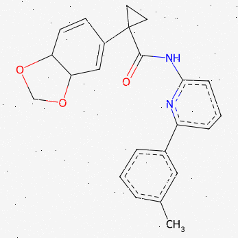 Cc1cccc(-c2cccc(NC(=O)C3(C4=CC5OCOC5C=C4)CC3)n2)c1